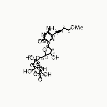 COCCC#Cc1cn(C2CC(O)C(COP(=O)(O)OP(=O)(O)OP(=O)(O)O)O2)c(=O)nc1N